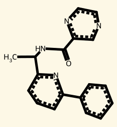 CC(NC(=O)c1cnccn1)c1cccc(-c2ccccc2)n1